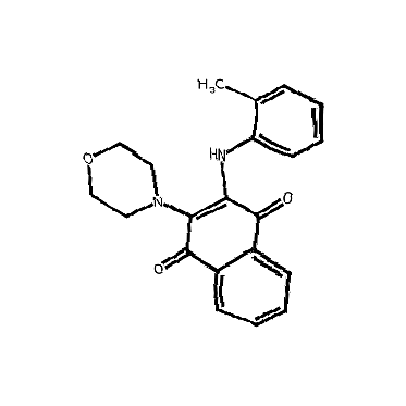 Cc1ccccc1NC1=C(N2CCOCC2)C(=O)c2ccccc2C1=O